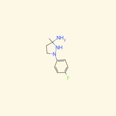 CC1(N)CCN(c2ccc(F)cc2)N1